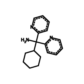 NC(c1ccccn1)(c1ccccn1)C1CCCCC1